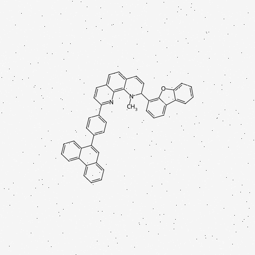 CN1c2c(ccc3ccc(-c4ccc(-c5cc6ccccc6c6ccccc56)cc4)nc23)C=CC1c1cccc2c1oc1ccccc12